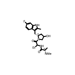 CCC(NC(=O)[C@H](C)NC)C(=O)N1CC(O)C[C@H]1Cc1c(C)[nH]c2cc(F)ccc12